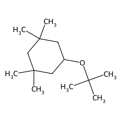 CC1(C)CC(OC(C)(C)C)CC(C)(C)C1